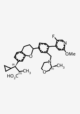 COc1cc(-c2ccc(C3CCc4ccc([C@H](C5CC5)[C@H](C)C(=O)O)cc4O3)cc2CN2CCOC[C@@H]2C)c(F)cn1